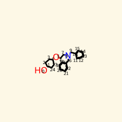 OC1CCC(OCCN(Cc2ccccc2)Cc2ccccc2)CC1